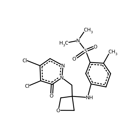 Cc1ccc(NC2(Cn3ncc(Cl)c(Cl)c3=O)COC2)cc1S(=O)(=O)N(C)C